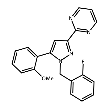 COc1ccccc1-c1cc(-c2ncccn2)nn1Cc1ccccc1F